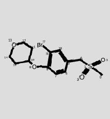 CS(=O)(=O)Cc1ccc(OC2CCOCC2)c(Br)c1